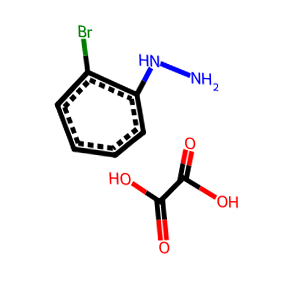 NNc1ccccc1Br.O=C(O)C(=O)O